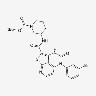 CC(C)(C)OC(=O)N1CCCC(NC(=O)c2sc3nccc4c3c2NC(=O)N4c2cccc(Br)c2)C1